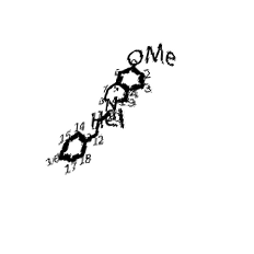 COc1ccc2c(c1)CCN(CCCc1ccccc1)C2.Cl